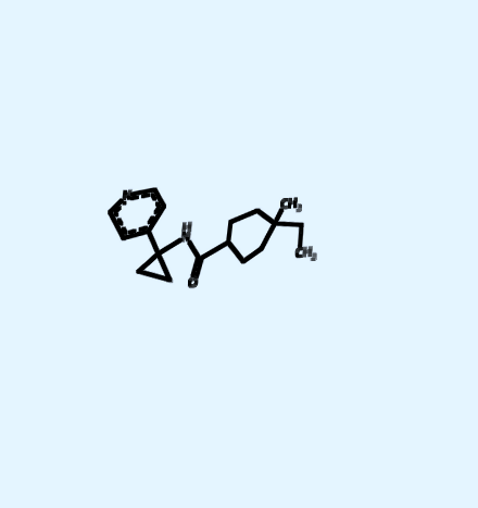 CCC1(C)CCC(C(=O)NC2(c3ccncc3)CC2)CC1